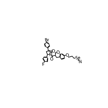 N#C[Se]CCCOc1ccc2c(c1)OC(=O)C(C(=O)N1N=C(c3ccc(Br)cc3)CC1c1ccc(F)cc1)C2